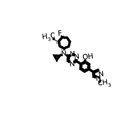 CC[C@H]1C[C@@H](N(c2cnc(-c3ccc(-c4cnn(C)c4)cc3O)nn2)C2CC2)CCC[C@@H]1F